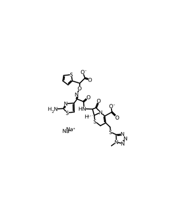 Cn1nnnc1SCC1=C(C(=O)[O-])N2C(=O)C(NC(=O)/C(=N\OC(C(=O)[O-])c3cccs3)c3csc(N)n3)[C@@H]2SC1.[Na+].[Na+]